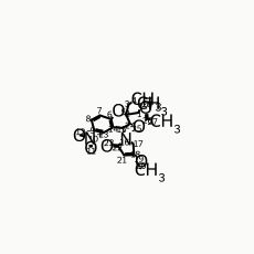 CCC1(CC)Oc2ccc([N+](=O)[O-])cc2[C@H](N2CC(OC)=CC2=O)[C@H]1OC(C)=O